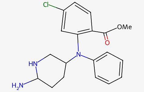 COC(=O)c1ccc(Cl)cc1N(c1ccccc1)C1CCC(N)NC1